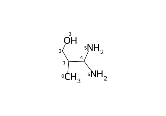 CC(CO)C(N)N